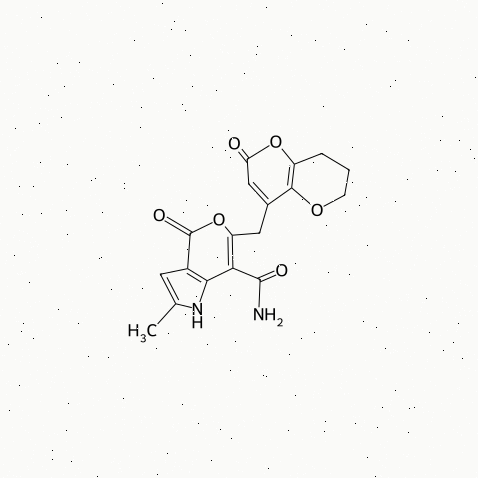 Cc1cc2c(=O)oc(Cc3cc(=O)oc4c3OCCC4)c(C(N)=O)c2[nH]1